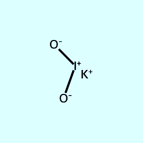 [K+].[O-][I+][O-]